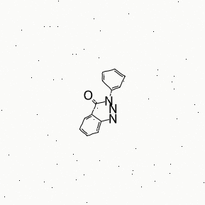 O=c1c2ccccc2nnn1-c1ccccc1